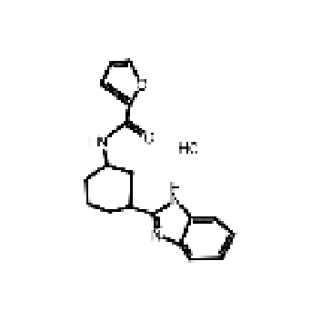 Cl.O=C(NC1CCCC(c2nc3ccccc3[nH]2)C1)c1ccco1